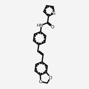 O=C(Nc1ccc(/C=C/c2ccc3c(c2)OCO3)cc1)c1cccs1